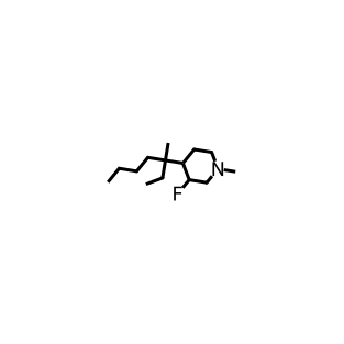 CCCCC(C)(CC)C1CCN(C)CC1F